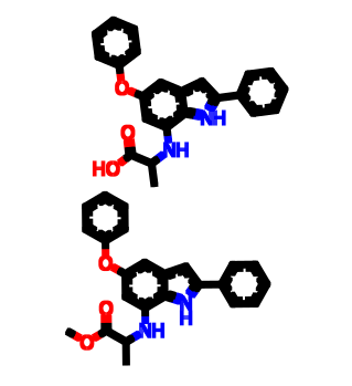 CC(Nc1cc(Oc2ccccc2)cc2cc(-c3ccccc3)[nH]c12)C(=O)O.COC(=O)C(C)Nc1cc(Oc2ccccc2)cc2cc(-c3ccccc3)[nH]c12